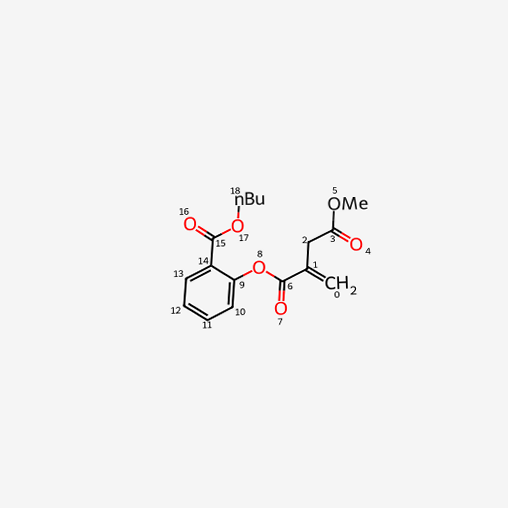 C=C(CC(=O)OC)C(=O)Oc1ccccc1C(=O)OCCCC